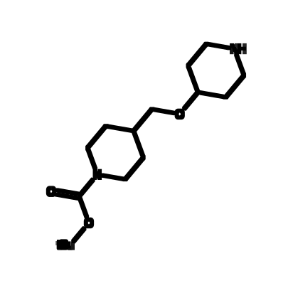 CC(C)(C)OC(=O)N1CCC(COC2CCNCC2)CC1